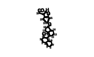 Cc1ccc2ccccc2c1-c1cccc2c1CC[C@H]2Oc1ccc2c(c1)OCC2CC(=O)O